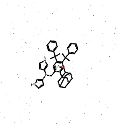 CC(C)(c1ccccc1)c1cc(CP(c2cc[nH]c2)c2cc[nH]c2)c(C23CC4CC(CC(C4)C2CP)C3)cc1C(C)(C)c1ccccc1